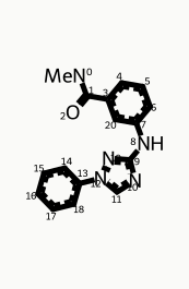 CNC(=O)c1cccc(Nc2ncn(-c3ccccc3)n2)c1